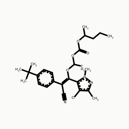 CCCC(C)OC(=O)OC(C)O/C(=C(/C#N)c1ccc(C(C)(C)C)cc1)c1c(Cl)c(C)nn1C